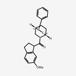 COc1ccc2c(c1)C(C(=O)N1C[C@@H]3CC[C@H]1CN3c1ccccc1)CC2